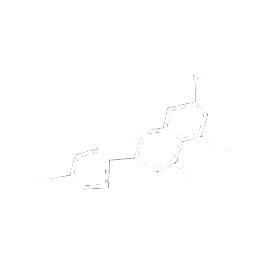 O=Nc1cc(O)c2c(=O)cc(-c3ccc(O)cc3)oc2c1